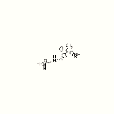 CC/C(=C(/c1ccc(OCCNC/C=C/C(=O)NC)cc1)c1ccc2[nH]ncc2c1)c1ccccc1